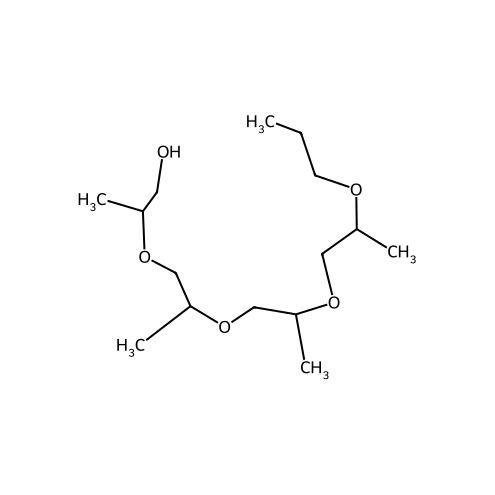 CCCOC(C)COC(C)COC(C)COC(C)CO